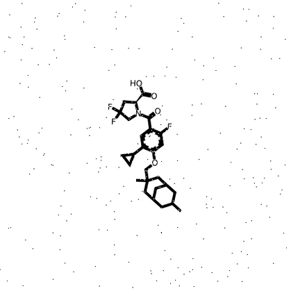 CC1CC2CC(C1)CC(C)(COc1cc(F)c(C(=O)N3CC(F)(F)C[C@H]3C(=O)O)cc1C1CC1)C2